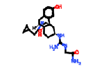 NC(=O)C/N=C(\N)N[C@@H]1CC[C@@]2(O)[C@H]3Cc4ccc(O)cc4[C@@]2(CCN3CC2CC2)C1